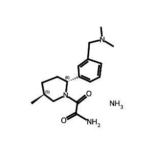 C[C@H]1CC[C@H](c2cccc(CN(C)C)c2)N(C(=O)C(N)=O)C1.N